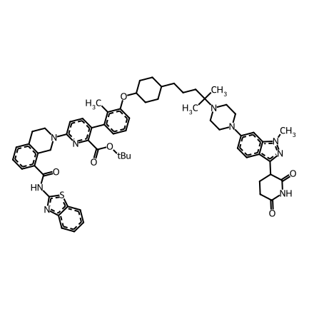 Cc1c(OC2CCC(CCCC(C)(C)N3CCN(c4ccc5c(C6CCC(=O)NC6=O)nn(C)c5c4)CC3)CC2)cccc1-c1ccc(N2CCc3cccc(C(=O)Nc4nc5ccccc5s4)c3C2)nc1C(=O)OC(C)(C)C